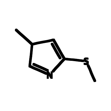 CSC1=CC(C)C=N1